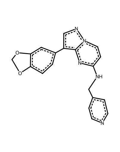 c1cc(CNc2ccn3ncc(-c4ccc5c(c4)OCO5)c3n2)ccn1